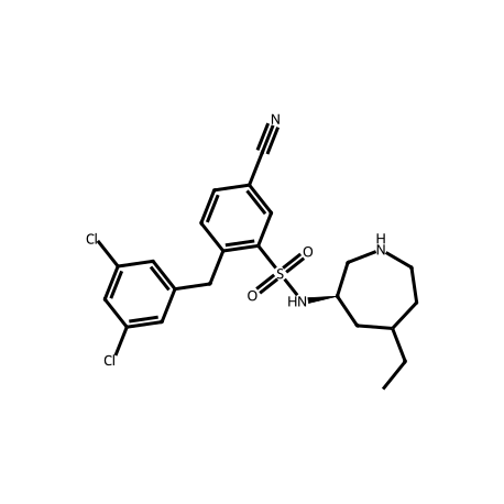 CCC1CCNC[C@H](NS(=O)(=O)c2cc(C#N)ccc2Cc2cc(Cl)cc(Cl)c2)C1